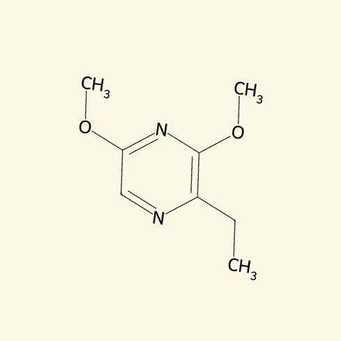 CCc1ncc(OC)nc1OC